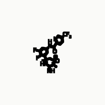 CN1C(=N)N[C@](C)(c2cc(NC(=O)c3ccc(C(F)(F)F)cn3)cc(F)c2F)CS1(=O)=O